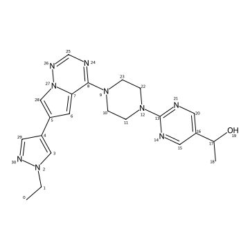 CCn1cc(-c2cc3c(N4CCN(c5ncc(C(C)O)cn5)CC4)ncnn3c2)cn1